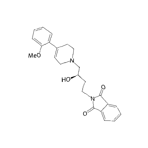 COc1ccccc1C1=CCN(C[C@H](O)CCN2C(=O)c3ccccc3C2=O)CC1